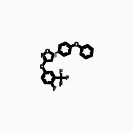 Fc1ccc(OC2=NO[C@H](c3ccc(Oc4ccccc4)cc3)C2)cc1C(F)(F)F